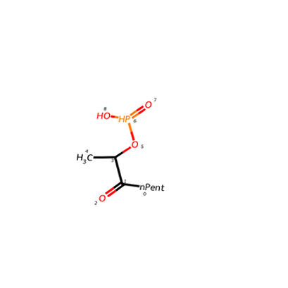 CCCCCC(=O)C(C)O[PH](=O)O